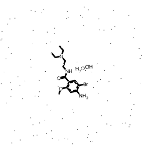 CCN(CC)CCNC(=O)c1cc(Br)c(N)cc1OC.Cl.O